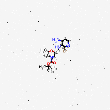 CCO[C@H](CNc1c(N)ccnc1Br)CN(C)C(=O)OC(C)(C)C